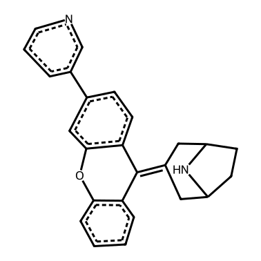 c1cncc(-c2ccc3c(c2)Oc2ccccc2C3=C2CC3CCC(C2)N3)c1